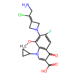 COc1c(N2CC(=C(Cl)CN)C2)c(F)cc2c(=O)c(C(=O)O)cn(C3CC3)c12